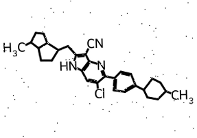 CC1CCC(c2ccc(-c3nc4c(C#N)c(CC5CCC6C(C)CCC56)[nH]c4cc3Cl)cc2)CC1